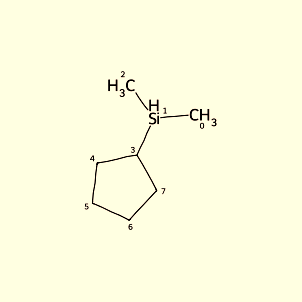 C[SiH](C)C1CCCC1